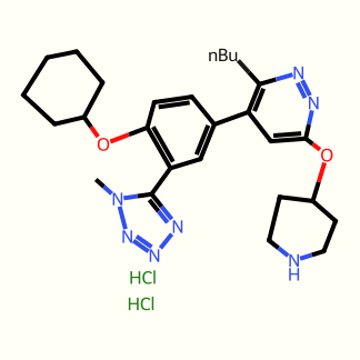 CCCCc1nnc(OC2CCNCC2)cc1-c1ccc(OC2CCCCC2)c(-c2nnnn2C)c1.Cl.Cl